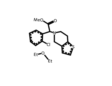 CCOCC.COC(=O)C(c1ccccc1Cl)N1CCc2sccc2C1